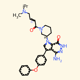 CC(C)N(C)C/C=C/C(=O)N1CCC[C@@H](n2cc(-c3ccc(Oc4ccccc4)cc3)c3c(N)n[nH]c(=O)c32)C1